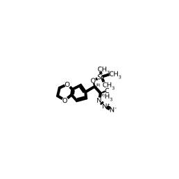 C[C@@H](N=[N+]=[N-])[C@H](O[Si](C)(C)C)c1ccc2c(c1)OCCO2